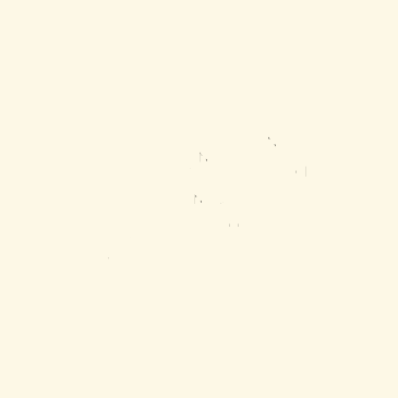 Cn1c(=O)n(CCCOS)c(=O)c2cc(Cl)ncc21